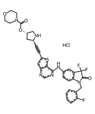 Cl.O=C(O[C@@H]1CN[C@@H](C#Cc2cc3ncnc(Nc4ccc5c(c4)C(F)(F)C(=O)N5Cc4ccccc4F)c3s2)C1)N1CCOCC1